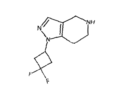 FC1(F)CC(n2ncc3c2CCNC3)C1